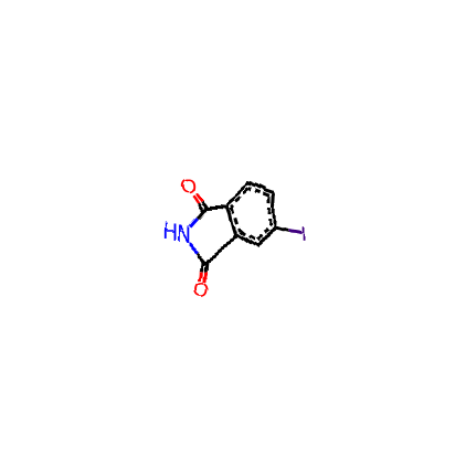 O=C1NC(=O)c2cc(I)ccc21